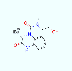 CC[C@H](C)[C@H]1C(=O)Nc2ccccc2N1C(=O)N(C)CCO